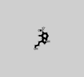 Cc1c([N+](=O)[O-])ccc2[nH]cc(CCCO)c12